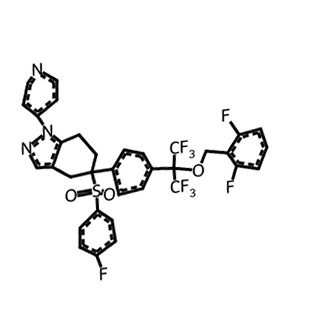 O=S(=O)(c1ccc(F)cc1)C1(c2ccc(C(OCc3c(F)cccc3F)(C(F)(F)F)C(F)(F)F)cc2)CCc2c(cnn2-c2ccncc2)C1